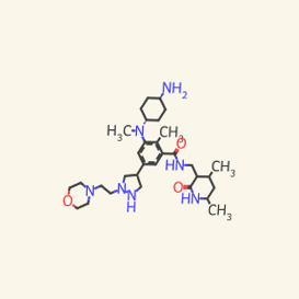 Cc1c(C(=O)NCC2C(=O)NC(C)CC2C)cc(C2CNN(CCN3CCOCC3)C2)cc1N(C)[C@H]1CC[C@H](N)CC1